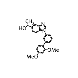 COc1ccc(-c2cccc(-n3cnc4cc([C@@H](C)O)ccc43)c2)c(OC)c1